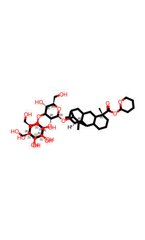 C=C1CC2C3CC1C(O[C@@H]1O[C@H](CO)[C@@H](O)C(O[C@@H]4O[C@H](CO)[C@@H](O)[C@H](O)[C@H]4O)[C@H]1O[C@@H]1O[C@H](CO)[C@@H](O)[C@H](O)[C@H]1O)[C@H](C)C2C1CCC[C@@](C)(C(=O)OC2CCCCO2)C1C3